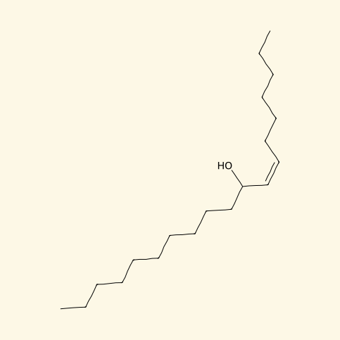 CCCCCC/C=C\C(O)CCCCCCCCCC